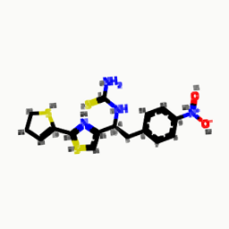 NC(=S)N[C@@H](Cc1ccc([N+](=O)[O-])cc1)c1csc(C2=CCCS2)n1